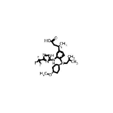 CO[C@H]1CC[C@@H](N(CC(C)C)c2ccc([C@H](C)CC(=O)O)cc2Nc2nc(C(F)(F)F)n[nH]2)CC1